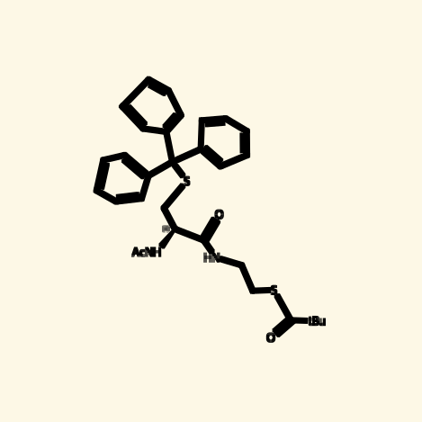 CC(=O)N[C@@H](CSC(c1ccccc1)(c1ccccc1)c1ccccc1)C(=O)NCCSC(=O)C(C)(C)C